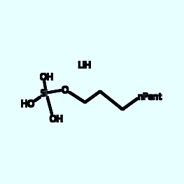 CCCCCCCCO[Si](O)(O)O.[LiH]